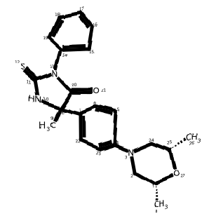 C[C@@H]1CN(c2ccc(C3(C)NC(=S)N(c4ccccc4)C3=O)cc2)C[C@H](C)O1